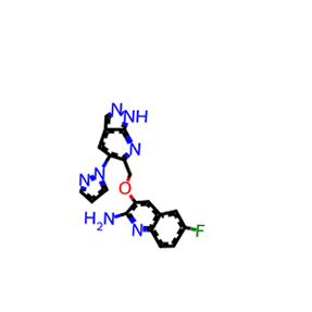 Nc1nc2ccc(F)cc2cc1OCc1nc2[nH]ncc2cc1-n1cccn1